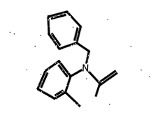 C=C(C)N(Cc1ccccc1)c1ccccc1C